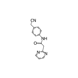 N#CCc1ccc(NC(=O)Cc2ncccn2)cc1